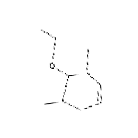 CCOC1C(C)C=CCC1C